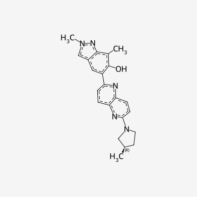 Cc1c(O)c(-c2ccc3nc(N4CC[C@@H](C)C4)ccc3n2)cc2cn(C)nc12